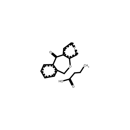 CCCC(=O)O.O=C1c2ccccc2COc2ccccc21